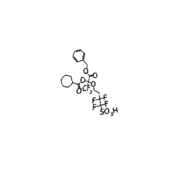 O=C(OC(OCCC(F)(F)C(F)(F)S(=O)(=O)O)(C(=O)OCc1ccccc1)C(F)(F)F)C1CCCCC1